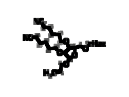 C=CCOC1OC(COCCCCCC)C(OCCCCCC#N)C1OCCCCCC#N